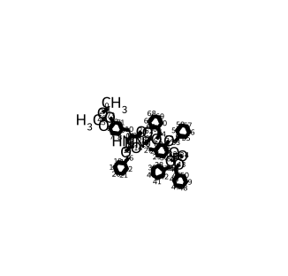 CCOC1(C)Oc2ccc(C[C@H](NC(=O)OCc3ccccc3)C(=O)N[C@@H](Cc3ccc(OP(=O)(OCc4ccccc4)OCc4ccccc4)c(OCc4ccccc4)c3)C(=O)OCc3ccccc3)cc2O1